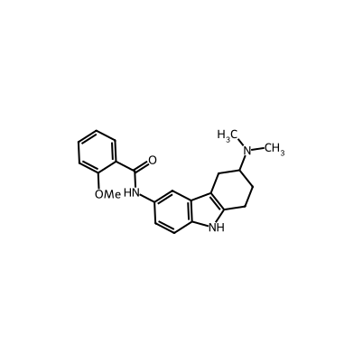 COc1ccccc1C(=O)Nc1ccc2[nH]c3c(c2c1)CC(N(C)C)CC3